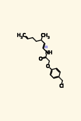 C=CCCC(C)/C=C/NC(=O)COc1ccc(CCl)cc1